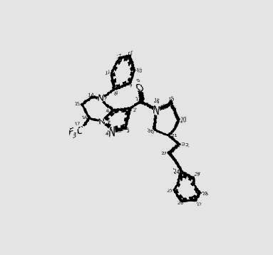 O=C(c1cnn2c1N(c1ccccc1)CCC2C(F)(F)F)N1CCC(CCc2ccccc2)C1